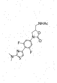 CC(=O)NCC1CN(c2cc(F)c(-c3csc(N(C)C)n3)c(F)c2)C(=O)O1